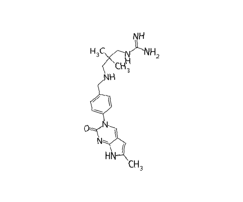 Cc1cc2cn(-c3ccc(CNCC(C)(C)CNC(=N)N)cc3)c(=O)nc2[nH]1